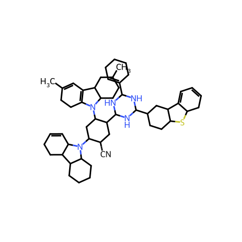 CC1=CC2=C(CC1)N(C1CC(N3C4C=CCCC4C4CCCCC43)C(C#N)CC1C1NC(C3=CCCCC3)NC(C3CCC4SC5CC=CC=C5C4C3)N1)C1CCC(C)CC21